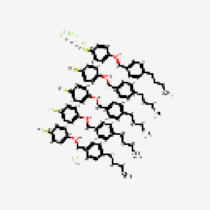 CCCCc1ccc(COc2ccc([S])cc2)cc1.CCCCc1ccc(COc2ccc([S])cc2)cc1.CCCCc1ccc(COc2ccc([S])cc2)cc1.CCCCc1ccc(COc2ccc([S])cc2)cc1.CCCCc1ccc(COc2ccc([S])cc2)cc1.F.F.F.F.F